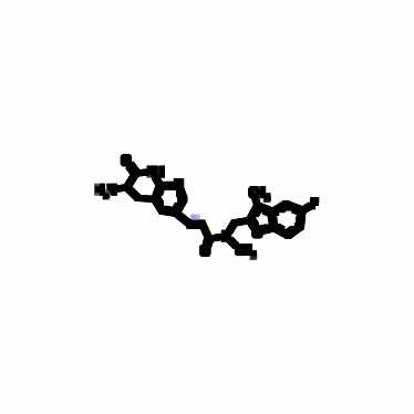 Cc1c(CN(C)C(=O)/C=C/c2cnc3c(c2)CC(N)C(=O)N3)oc2ccc(F)cc12